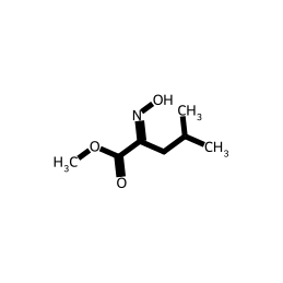 COC(=O)C(CC(C)C)=NO